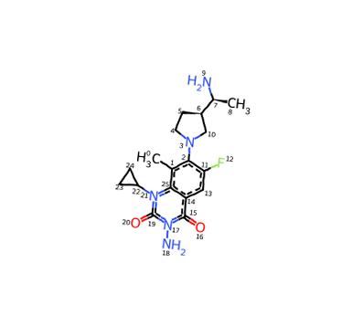 Cc1c(N2CC[C@@H]([C@H](C)N)C2)c(F)cc2c(=O)n(N)c(=O)n(C3CC3)c12